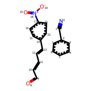 N#Cc1ccccc1.O=C/C=C/C=C/c1ccc([N+](=O)[O-])cc1